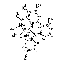 O=C1c2c(O)c(=O)cnn2[C@@H](C(c2ccc(F)cc2)c2cccc(F)c2)[C@H]2CCCN12